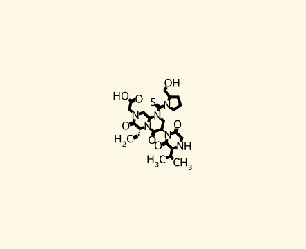 C=C[C@@H]1C(=O)N(CC(=O)O)CC2N(C(=S)N3CCCC3CO)C[C@@H](N3C(=O)CNC(C(C)C)C3=O)C(=O)N21